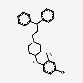 N#Cc1ccc(NC2CCN(CCC(c3ccccc3)c3ccccc3)CC2)c(N)c1